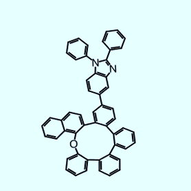 c1ccc(-c2nc3cc(-c4ccc5c(c4)-c4ccc6ccccc6c4Oc4ccccc4-c4ccccc4-c4ccccc4-5)ccc3n2-c2ccccc2)cc1